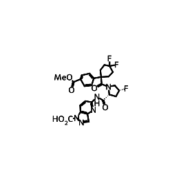 COC(=O)c1ccc(C2(C(=O)N3C[C@H](F)C[C@@H]3C(=O)Nc3ccc4c(cnn4C(=O)O)n3)CCC(F)(F)CC2)cc1